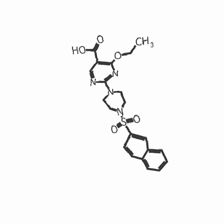 CCOc1nc(N2CCN(S(=O)(=O)c3ccc4ccccc4c3)CC2)ncc1C(=O)O